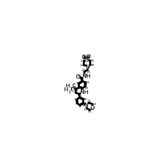 CC1(C)CC(c2cccc(N3CCOCC3)c2)Nc2ccc(C(=O)NCCN3CCS(=O)(=O)CC3)cc21